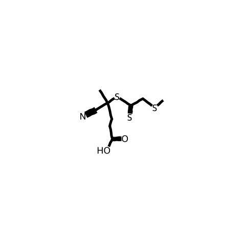 CSCC(=S)SC(C)(C#N)CCC(=O)O